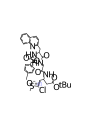 Cc1ccc(S(=O)(=O)NC(Cc2ccc3ccccc3n2)C(=O)NCC(=O)NC(/C=C(\Cl)[S+](C)[O-])CC(=O)OC(C)(C)C)cc1